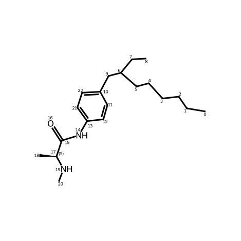 CCCCCCC(CC)Cc1ccc(NC(=O)[C@H](C)NC)cc1